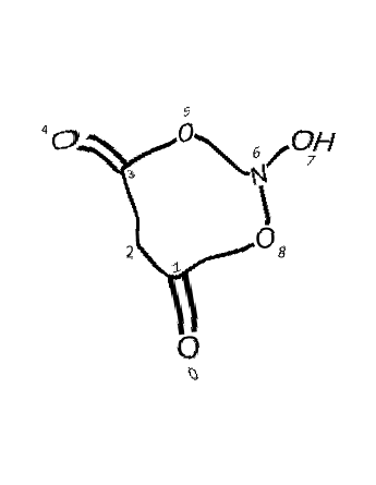 O=C1CC(=O)ON(O)O1